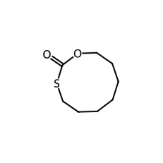 O=C1OCCCCCCCS1